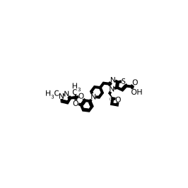 Cn1ccc([C@@]2(C)Oc3cccc(N4CCC(Cc5nc6sc(C(=O)O)cc6n5C[C@@H]5CCO5)CC4)c3O2)n1